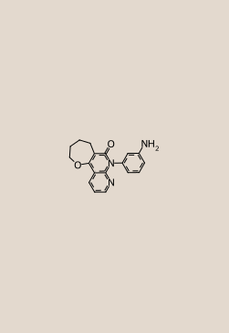 Nc1cccc(-n2c(=O)c3c(c4cccnc42)OCCCC3)c1